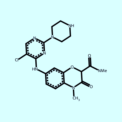 CNC(=O)C1Oc2cc(Nc3nc(N4CCNCC4)ncc3Cl)ccc2N(C)C1=O